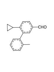 Cc1ccccc1-c1cc(C=O)ccc1C1CC1